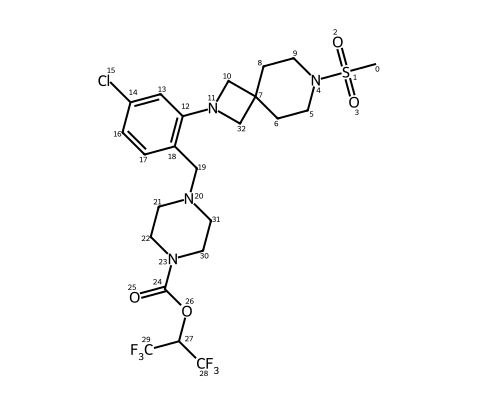 CS(=O)(=O)N1CCC2(CC1)CN(c1cc(Cl)ccc1CN1CCN(C(=O)OC(C(F)(F)F)C(F)(F)F)CC1)C2